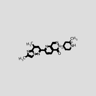 Cc1cn2nc(-c3ccc4c(=O)n([C@H]5CCN[C@H](C)C5)ncc4n3)cc(C)c2n1